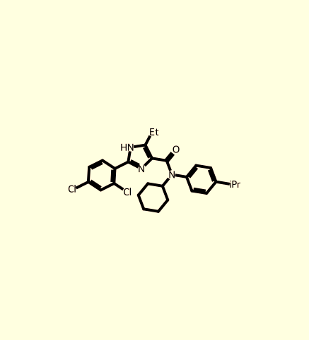 CCc1[nH]c(-c2ccc(Cl)cc2Cl)nc1C(=O)N(c1ccc(C(C)C)cc1)C1CCCCC1